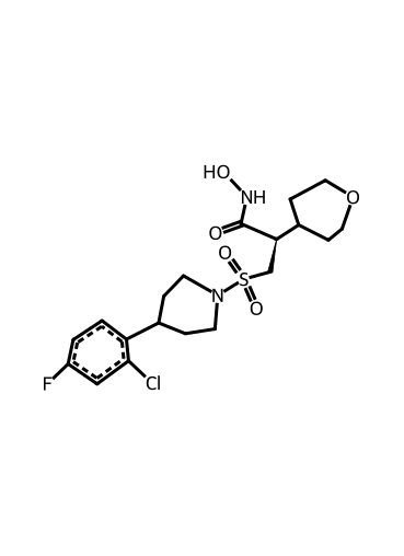 O=C(NO)[C@H](CS(=O)(=O)N1CCC(c2ccc(F)cc2Cl)CC1)C1CCOCC1